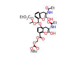 CCCCOC(=O)OCOC(=O)c1ccc(OC(OC(C)OC(=O)OCC)c2cccc3c2OB(O)[C@@H](NC(=O)CC)C3)c2c1OB(O)[C@@H](NC(=O)CC)C2